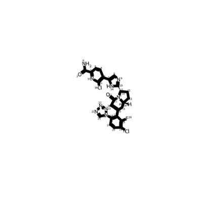 NC(=O)c1ccc(-c2cnc([C@@H]3CC[C@@H]4CC(c5c(-n6cnnn6)ccc(Cl)c5F)=CC(=O)N43)[nH]2)c(Cl)n1